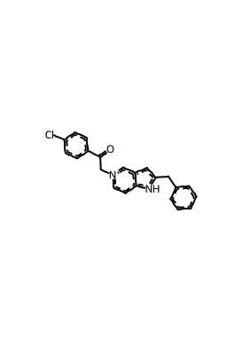 O=C(C[n+]1ccc2[nH]c(Cc3ccccc3)cc2c1)c1ccc(Cl)cc1